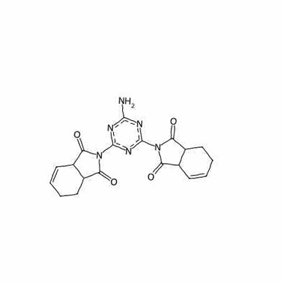 Nc1nc(N2C(=O)C3C=CCCC3C2=O)nc(N2C(=O)C3C=CCCC3C2=O)n1